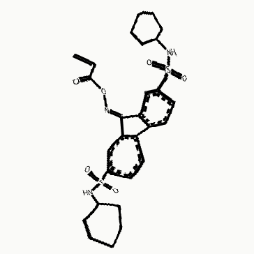 C=CC(=O)ON=C1c2cc(S(=O)(=O)NC3CCCCC3)ccc2-c2ccc(S(=O)(=O)NC3CCCCC3)cc21